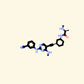 CNc1nc(Nc2cccc(C#N)c2)ncc1C#C[C@@H]1CCC[C@H](NC(=O)[C@H](C)NC)C1